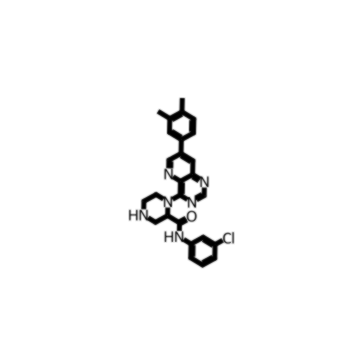 Cc1ccc(-c2cnc3c(N4CCNCC4C(=O)Nc4cccc(Cl)c4)ncnc3c2)cc1C